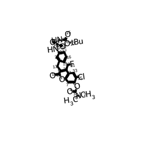 CN(C)C(=O)Oc1cc2oc(=O)c(Cc3cccc(NS(=O)(=O)NC(=O)OC(C)(C)C)c3)c(CF)c2cc1Cl